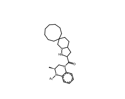 CC(=O)N1c2ccccc2N(C(=O)C2CC3CCC4(CCCCCCCC4)CN3N2)C[C@@H]1C